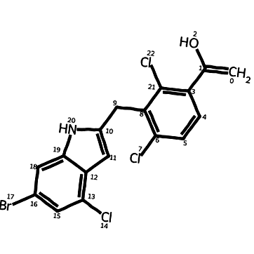 C=C(O)c1ccc(Cl)c(Cc2cc3c(Cl)cc(Br)cc3[nH]2)c1Cl